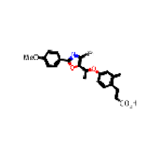 COc1ccc(-c2nc(C(C)C)c(C(C)Oc3ccc(CCC(=O)O)c(C)c3)o2)cc1